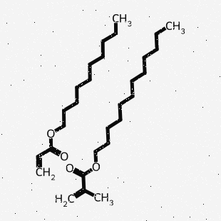 C=C(C)C(=O)OCCCCCCCCCCCC.C=CC(=O)OCCCCCCCCCC